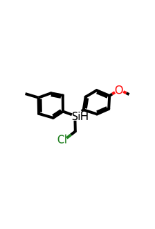 COc1ccc([SiH](CCl)c2ccc(C)cc2)cc1